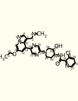 C=NCc1cnn2cc(OCC)cc(-c3cnc(N4CC[C@H](NC(=O)c5ncccc5Cl)[C@@H](O)C4)cn3)c12